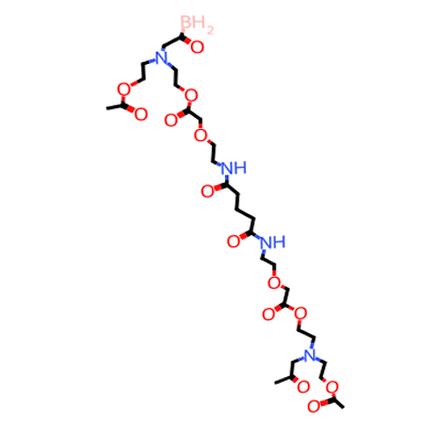 BC(=O)CN(CCOC(C)=O)CCOC(=O)COCCNC(=O)CCCC(=O)NCCOCC(=O)OCCN(CCOC(C)=O)CC(C)=O